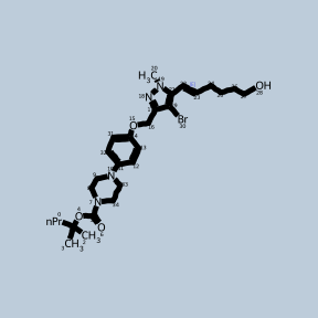 CCCC(C)(C)OC(=O)N1CCN(c2ccc(OCc3nn(C)c(/C=C/CCCCO)c3Br)cc2)CC1